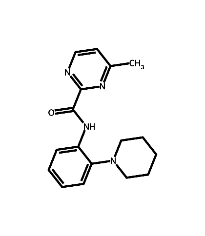 Cc1ccnc(C(=O)Nc2ccccc2N2CCCCC2)n1